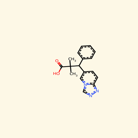 CC(C)(C(=O)O)C(c1ccccc1)c1ccc2nncn2c1